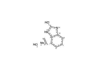 C=C.Cl.Cl.N.c1ccc2[nH]cnc2c1